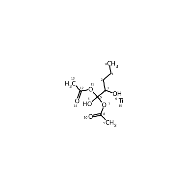 CCC[C](O)C(O)(OC(C)=O)OC(C)=O.[Ti]